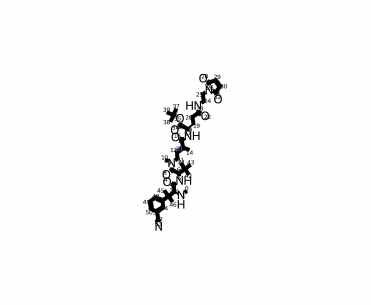 CN[C@H](C(=O)NC(C(=O)N(C)C/C=C(\C)C(=O)N[C@H](CCC(=O)NCCN1C(=O)C=CC1=O)C(=O)OC(C)(C)C)C(C)(C)C)C(C)(C)c1cccc(C#N)c1